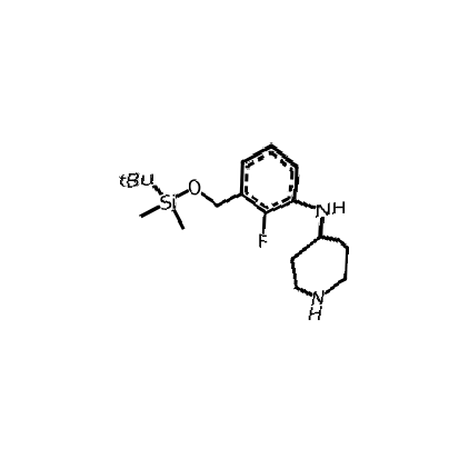 CC(C)(C)[Si](C)(C)OCc1cccc(NC2CCNCC2)c1F